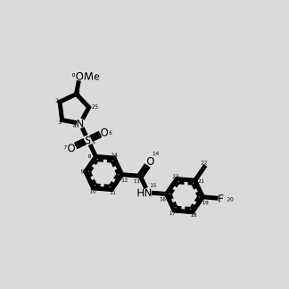 COC1CCN(S(=O)(=O)c2cccc(C(=O)Nc3ccc(F)c(C)c3)c2)C1